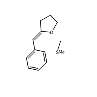 C(=C1CCCO1)c1ccccc1.CSC